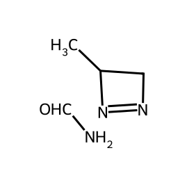 CC1CN=N1.NC=O